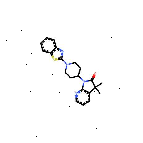 CC1(C)C(=O)N(C2CCN(c3nc4ccccc4s3)CC2)c2ncccc21